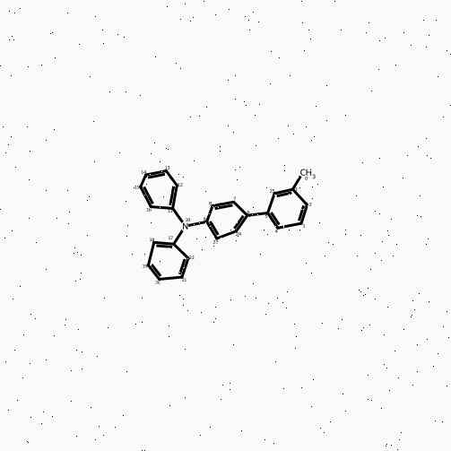 Cc1[c]ccc(-c2ccc(N(c3ccccc3)c3ccccc3)cc2)c1